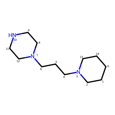 C1CCN(CCCN2CCNCC2)CC1